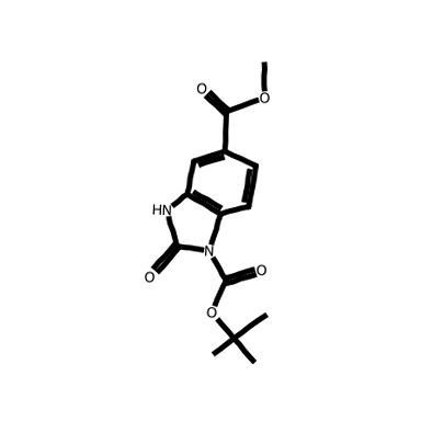 COC(=O)c1ccc2c(c1)[nH]c(=O)n2C(=O)OC(C)(C)C